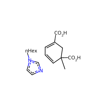 CC1(C(=O)O)C=CC=C(C(=O)O)C1.CCCCCCn1ccnc1